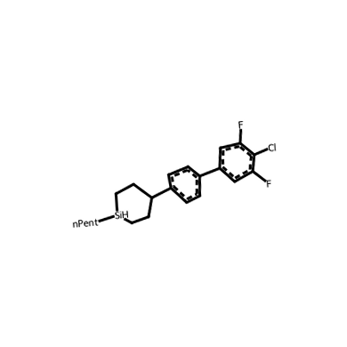 CCCCC[SiH]1CCC(c2ccc(-c3cc(F)c(Cl)c(F)c3)cc2)CC1